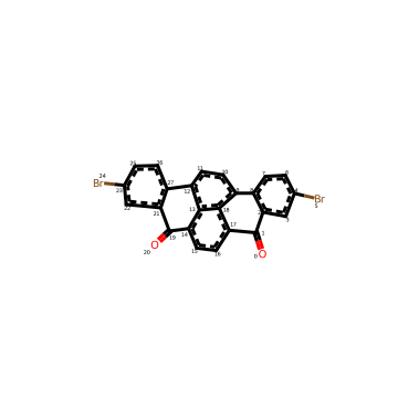 O=C1c2cc(Br)ccc2-c2ccc3c4c(ccc1c24)C(=O)c1cc(Br)ccc1-3